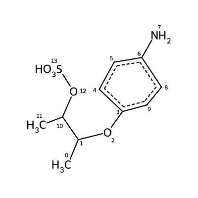 CC(Oc1ccc(N)cc1)C(C)OS(=O)(=O)O